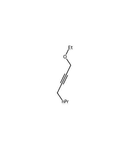 CCCCC#CCOCC